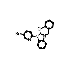 Clc1ccccc1CN1[CH]N(c2ccc(Br)cn2)c2ccccc21